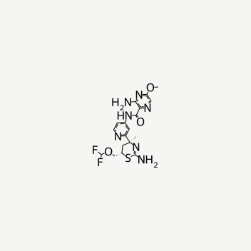 COc1cnc(C(=O)Nc2ccnc([C@]3(C)C[C@@H](COC(F)F)SC(N)=N3)c2)c(N)n1